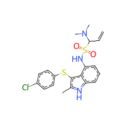 C=CC(N(C)C)S(=O)(=O)Nc1cccc2[nH]c(C)c(Sc3ccc(Cl)cc3)c12